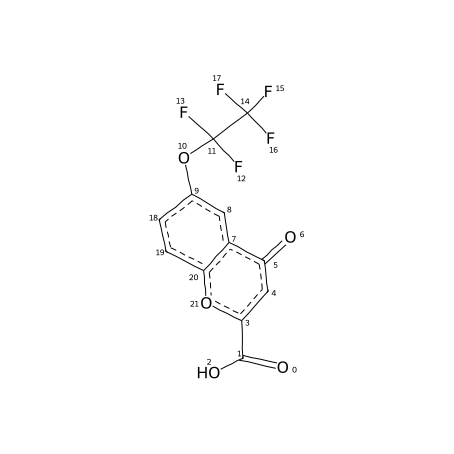 O=C(O)c1cc(=O)c2cc(OC(F)(F)C(F)(F)F)ccc2o1